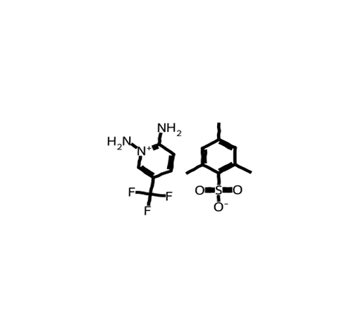 Cc1cc(C)c(S(=O)(=O)[O-])c(C)c1.Nc1ccc(C(F)(F)F)c[n+]1N